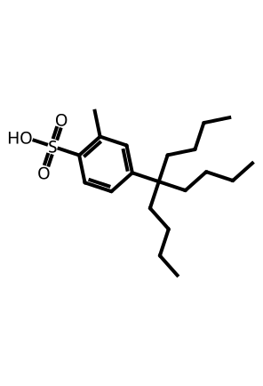 CCCCC(CCCC)(CCCC)c1ccc(S(=O)(=O)O)c(C)c1